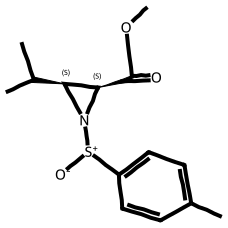 COC(=O)[C@@H]1[C@H](C(C)C)N1[S+]([O-])c1ccc(C)cc1